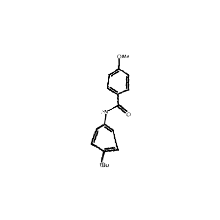 COc1ccc(C(=O)Nc2ccc(C(C)(C)C)cc2)cc1